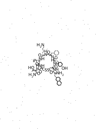 CC(C)[C@@H]1NC(=O)[C@H](CCCCN)NC(=O)[C@@H](CC2CCCCC2)NC(=O)[C@H](Cc2ccc(O)cc2)NC(=O)[C@@H](NC(=O)[C@H](N)Cc2ccc3ccccc3c2)CSSC[C@@H](C(=O)N[C@H](C(N)=O)[C@@H](C)O)NC1=O